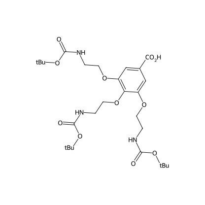 CC(C)(C)OC(=O)NCCOc1cc(C(=O)O)cc(OCCNC(=O)OC(C)(C)C)c1OCCNC(=O)OC(C)(C)C